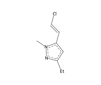 CCc1cc(/C=C/Cl)n(C)n1